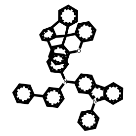 c1ccc(-c2cccc(N(c3ccc(-c4cccc5c4C4(c6ccccc6Oc6ccccc64)c4ccccc4-5)cc3)c3ccc4c5ccccc5n(-c5ccccc5)c4c3)c2)cc1